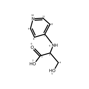 O=C(O)C(CO)Nc1ccncc1